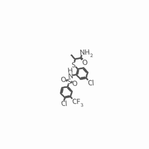 CC(Sc1ccc(Cl)cc1NS(=O)(=O)c1ccc(Cl)c(C(F)(F)F)c1)C(N)=O